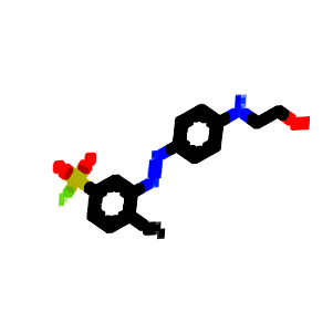 Cc1ccc(S(=O)(=O)F)cc1N=Nc1ccc(NCCO)cc1